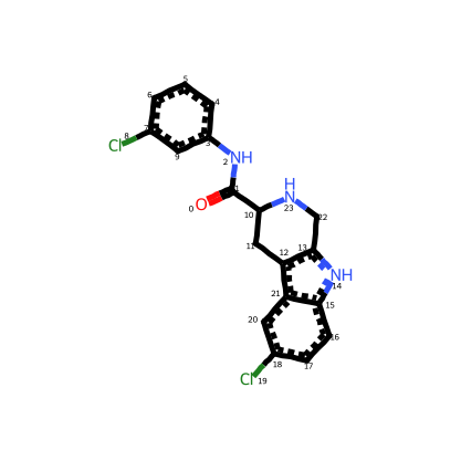 O=C(Nc1cccc(Cl)c1)C1Cc2c([nH]c3ccc(Cl)cc23)CN1